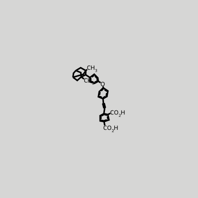 CC12CC3CC(C1)CC(C)(C3)C2c1ccc(Oc2ccc(C#Cc3ccc(C(=O)O)cc3C(=O)O)cc2)cc1